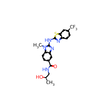 C[C@@H](O)CNC(=O)c1ccc2c(c1)nc(Nc1nc3ccc(C(F)(F)F)cc3s1)n2C